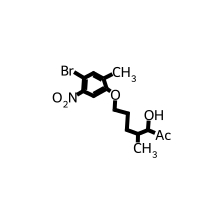 CC(=O)C(O)C(C)CCCOc1cc([N+](=O)[O-])c(Br)cc1C